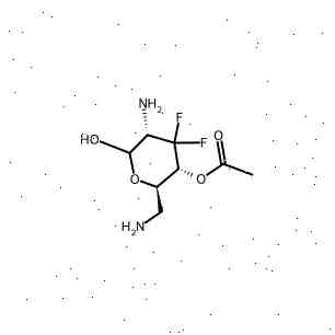 CC(=O)O[C@@H]1[C@@H](CN)OC(O)[C@H](N)C1(F)F